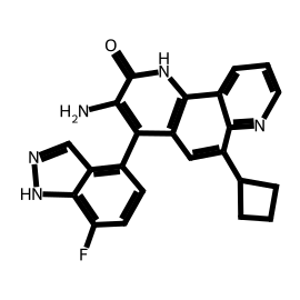 Nc1c(-c2ccc(F)c3[nH]ncc23)c2cc(C3CCC3)c3ncccc3c2[nH]c1=O